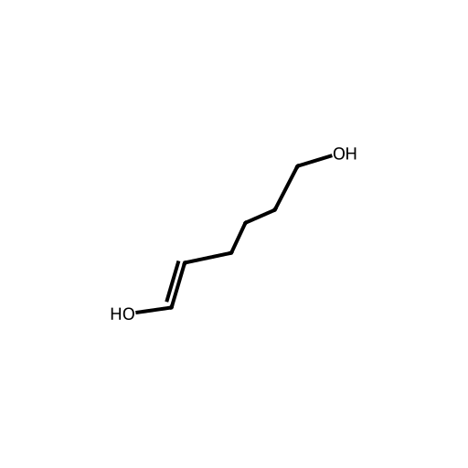 OC=CCCCCO